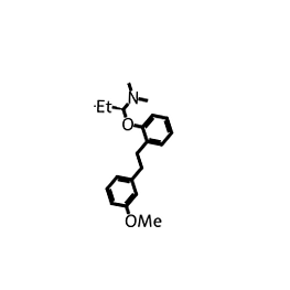 C[CH][C@H](Oc1ccccc1CCc1cccc(OC)c1)N(C)C